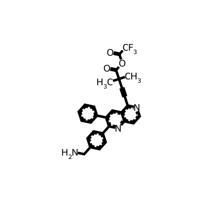 CC(C)(C#Cc1nccc2nc(-c3ccc(CN)cc3)c(-c3ccccc3)cc12)C(=O)OC(=O)C(F)(F)F